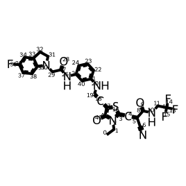 CCn1c(=C=C(C#N)C(=O)NCC(F)(F)F)sc(=C=CNc2cccc(NC(=O)CN3CCc4cc(F)ccc43)c2)c1=O